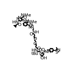 CNC(=O)c1nnc(NC(=O)C2CC2)cc1Nc1cccc(-c2ncn(CCNC(=O)CCOCCOCCC(=O)N[C@H](C(=O)N3C[C@H](O)C[C@H]3C(=O)NCc3ccc(-c4scnc4C)cc3)C(C)(C)C)n2)c1OC